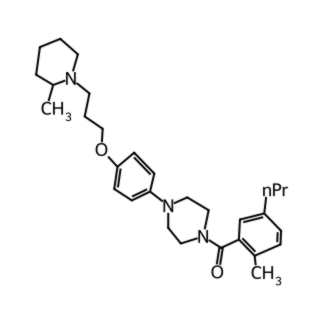 CCCc1ccc(C)c(C(=O)N2CCN(c3ccc(OCCCN4CCCCC4C)cc3)CC2)c1